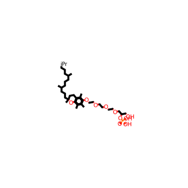 Cc1c(C)c2c(c(C)c1OCCOCCOCCOCC(CO)OP(=O)(O)O)CCC(C)(CCCC(C)CCCC(C)CCCC(C)C)O2